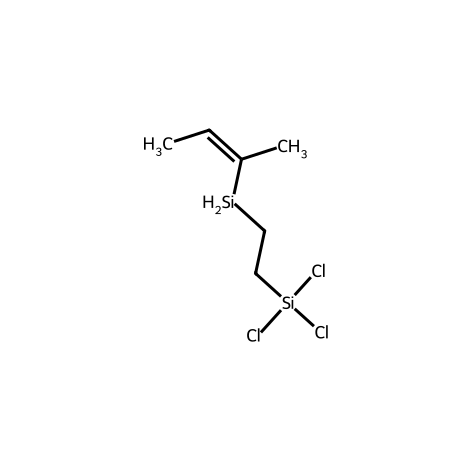 CC=C(C)[SiH2]CC[Si](Cl)(Cl)Cl